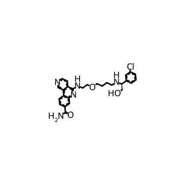 NC(=O)c1ccc2c(c1)nc(NCCOCCCCN[C@H](CO)c1cccc(Cl)c1)c1ccncc12